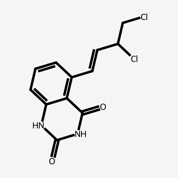 O=c1[nH]c(=O)c2c(C=CC(Cl)CCl)cccc2[nH]1